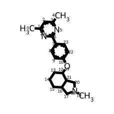 Cc1cc(C)nc(-c2ccc(OC3CCCC4CN(C)CC43)cc2)n1